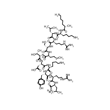 CSCC[C@H](NC(=O)[C@H](CO)NC(=O)[C@H](CCCNC(=N)N)NC(=O)[C@H](CC(C)C)NC(=O)[C@H](CCCCN)NC(=O)[C@@H](C)CCCCN)C(=O)N[C@H](C(=O)N[C@@H](CC(=O)O)C(=O)N[C@@H](CCCCN)C(=O)N[C@@H](Cc1ccc(O)cc1)C(=O)N[C@@H](CCCNC(=N)N)C(=O)N[C@@H](CC(C)C)C(N)=O)[C@@H](C)O